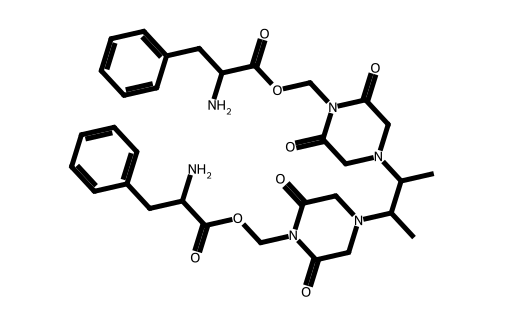 CC(C(C)N1CC(=O)N(COC(=O)C(N)Cc2ccccc2)C(=O)C1)N1CC(=O)N(COC(=O)C(N)Cc2ccccc2)C(=O)C1